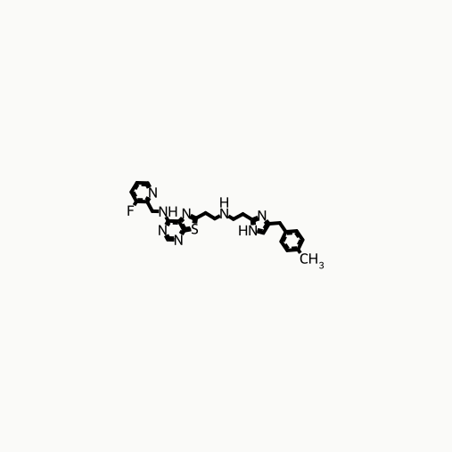 Cc1ccc(Cc2c[nH]c(CCNCCc3nc4c(NCc5ncccc5F)ncnc4s3)n2)cc1